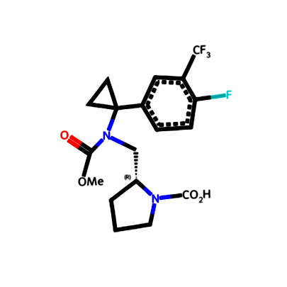 COC(=O)N(C[C@H]1CCCN1C(=O)O)C1(c2ccc(F)c(C(F)(F)F)c2)CC1